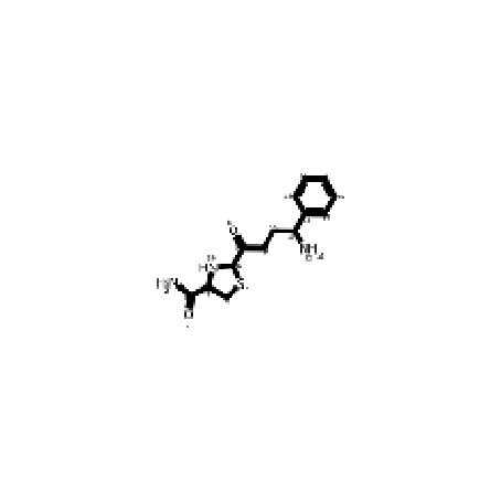 NC(=O)C1CSC(C(=O)CCC(N)c2ccccc2)N1